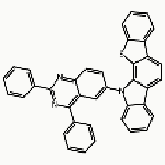 c1ccc(-c2nc(-c3ccccc3)c3cc(-n4c5ccccc5c5ccc6c7ccccc7sc6c54)ccc3n2)cc1